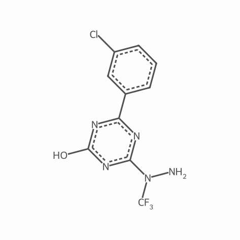 NN(c1nc(O)nc(-c2cccc(Cl)c2)n1)C(F)(F)F